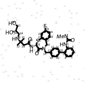 CNC(=O)Nc1ccccc1-c1ccc(CN2Cc3ccc(F)cc3S[C@@H](NC(=O)CC(C)(C)NC[C@H](O)CO)C2=O)cc1